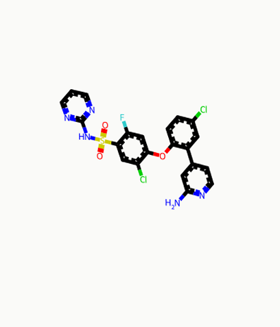 Nc1cc(-c2cc(Cl)ccc2Oc2cc(F)c(S(=O)(=O)Nc3ncccn3)cc2Cl)ccn1